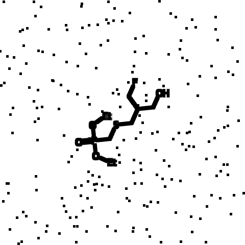 CCOP(=O)(CSCC(CO)CF)OCC